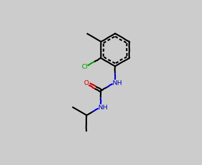 Cc1cccc(NC(=O)NC(C)C)c1Cl